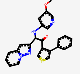 COc1cncc(NC(C(=O)c2cscc2-c2ccccc2)c2cc3ccccn3n2)c1